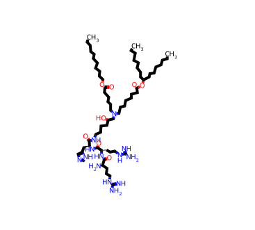 CCCCCCCCCCCOC(=O)CCCCCN(CCCCCCCC(=O)OC(CCCCCCCC)CCCCCCCC)CC(O)CCCCNC(=O)[C@H](Cc1cnc[nH]1)NC(=O)[C@H](CCCNC(=N)N)NC(=O)[C@H](N)CCCNC(=N)N